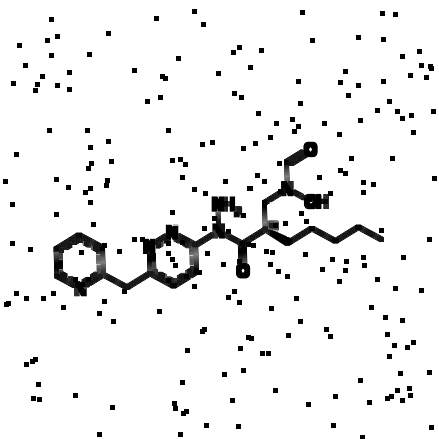 CCCCC[C@H](CN(O)C=O)C(=O)N(N)c1ccc(Cc2ccccn2)nn1